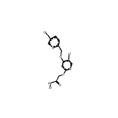 CCNC(=O)COc1cc(OCc2ccc(Cl)cn2)c(Cl)cn1